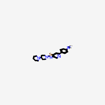 [C-]#[N+]c1ccc(-c2cc3sc(N4CCC(N5CCCCC5)CC4)nc3cn2)cc1